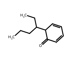 CCCC(CC)C1C=CC=[C]C1=O